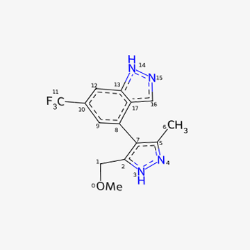 COCc1[nH]nc(C)c1-c1cc(C(F)(F)F)cc2[nH]ncc12